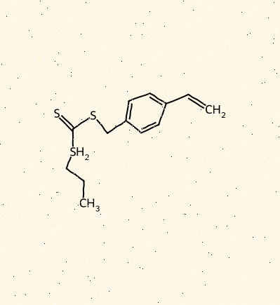 C=Cc1ccc(CSC(=S)[SH2]CCC)cc1